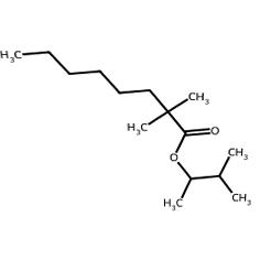 CCCCCCC(C)(C)C(=O)OC(C)C(C)C